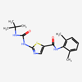 Cc1cccc(C)c1NC(=O)c1cnc(NC(=O)NC(C)(C)C)s1